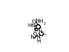 C[C@H]1C[C@@H](NC(=O)CN(C)C)CN(C2=CC=C(C(N)=O)C(=N)C23C=CC3)C1